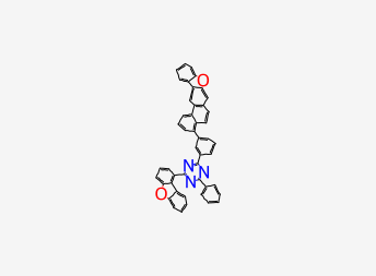 c1ccc(-c2nc(-c3cccc(-c4cccc5c4ccc4cc6oc7ccccc7c6cc45)c3)nc(-c3cccc4oc5ccccc5c34)n2)cc1